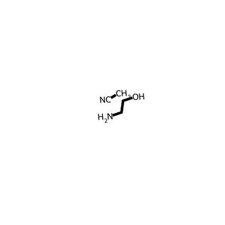 CC#N.NCCO